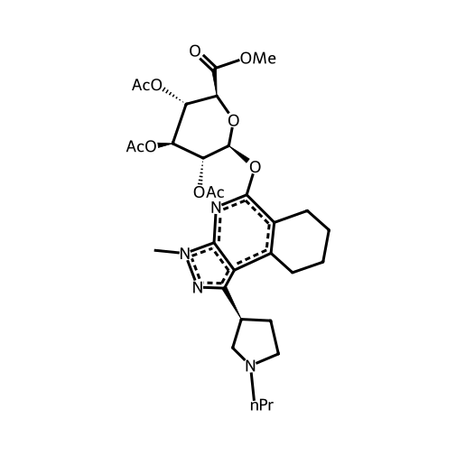 CCCN1CC[C@H](c2nn(C)c3nc(O[C@@H]4O[C@H](C(=O)OC)[C@@H](OC(C)=O)[C@H](OC(C)=O)[C@H]4OC(C)=O)c4c(c23)CCCC4)C1